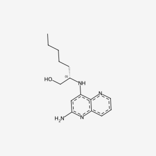 CCCCC[C@@H](CO)Nc1cc(N)nc2cccnc12